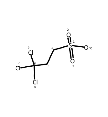 [O]S(=O)(=O)CCC(Cl)(Cl)Cl